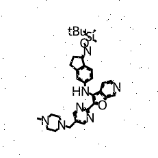 CN1CCN(Cc2cnc(-c3oc4cnccc4c3Nc3ccc4c(c3)CCC4=NO[Si](C)(C)C(C)(C)C)nc2)CC1